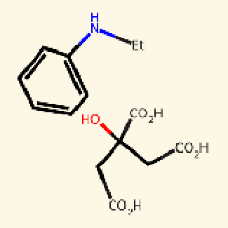 CCNc1ccccc1.O=C(O)CC(O)(CC(=O)O)C(=O)O